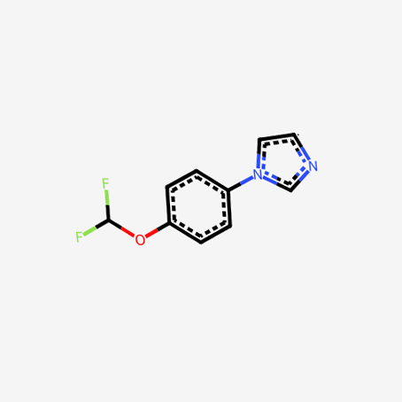 FC(F)Oc1ccc(-n2c[c]nc2)cc1